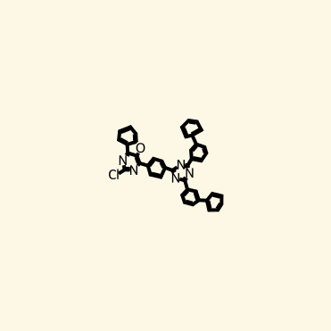 Clc1nc(-c2ccc(-c3nc(-c4cccc(-c5ccccc5)c4)nc(-c4cccc(-c5ccccc5)c4)n3)cc2)c2oc3ccccc3c2n1